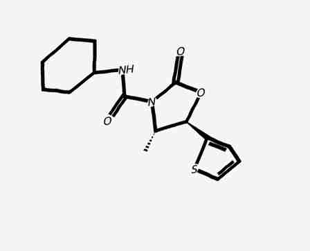 C[C@H]1[C@H](c2cccs2)OC(=O)N1C(=O)NC1CCCCC1